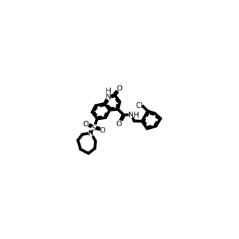 O=C(NCc1ccccc1Cl)c1cc(=O)[nH]c2ccc(S(=O)(=O)N3CCCCCC3)cc12